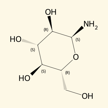 N[C@H]1O[C@H](CO)[C@@H](O)[C@H](O)[C@H]1O